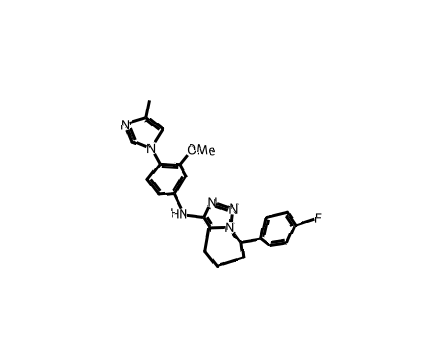 COc1cc(Nc2nnn3c2CCCC3c2ccc(F)cc2)ccc1-n1cnc(C)c1